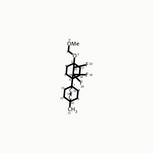 COCOC12CCC(C34CCC(C)(CC3)CC4)(CC1)C(F)(F)C2F